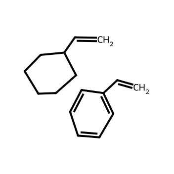 C=CC1CCCCC1.C=Cc1ccccc1